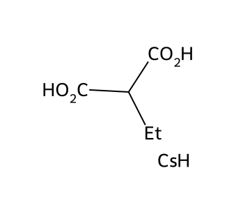 CCC(C(=O)O)C(=O)O.[CsH]